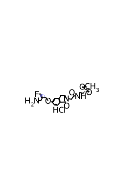 CS(=O)(=O)CCNC(=O)CN1CCc2cc(OC/C(=C/F)CN)ccc2C1=O.Cl